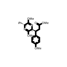 COC(=O)CC(c1ccc(OC)cc1)[C@@H]1N=C(OC)[C@@H](C(C)C)N=C1OC